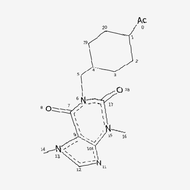 CC(=O)C1CCC(Cn2c(=O)c3c(ncn3C)n(C)c2=O)CC1